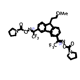 COCCC1c2ccc(/C(=N/OC(=O)N3CCCC3)C(F)(F)F)cc2-c2cc(/C(=N/OC(=O)N3CCCC3)C(F)(F)F)ccc21